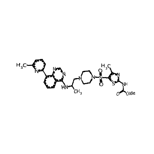 COC(=O)Nc1nc(C)c(S(=O)(=O)N2CCN(CC(C)Nc3ncnc4c(-c5cccc(C)n5)cccc34)CC2)s1